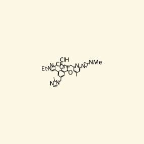 CCn1cc(-c2cc(Cn3ccnc3C)cc3c2OC[C@@H](Cc2cc(C)cc(N4CC(NC)C4)n2)C3=O)c(C(F)(F)F)n1.Cl